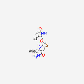 CCC1C(COc2csc3cc(C(N)=O)c(OC)nc23)NC(=O)C1(C)C